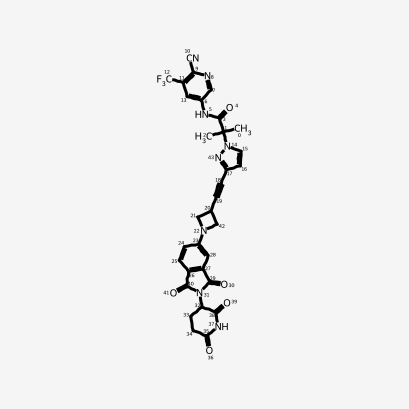 CC(C)(C(=O)Nc1cnc(C#N)c(C(F)(F)F)c1)n1ccc(C#CC2CN(c3ccc4c(c3)C(=O)N(C3CCC(=O)NC3=O)C4=O)C2)n1